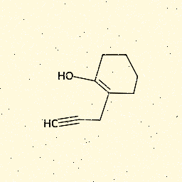 C#CCC1=C(O)CCCC1